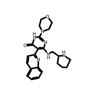 O=c1[nH]c(N2CCOCC2)nc(NCC2CCCCN2)c1-c1ccc2ccccc2n1